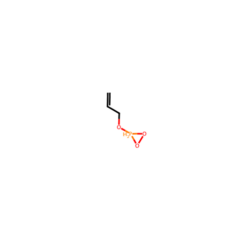 C=CCO[PH2]1OO1